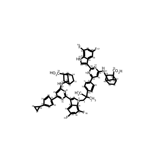 CC(C)(Cn1cc(-c2nc(NC3C4CCC(CC4)C3C(=O)O)cc(-c3ccc(C4CC4)cc3)n2)c2cc(F)cc(F)c21)c1ccc(-c2cc(NC3C4CCC(CC4)C3C(=O)O)nc(-c3c[nH]c4c(F)cc(F)cc34)n2)cc1